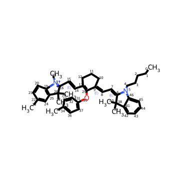 CCCCCN1/C(=C/C=C2\CCCC(/C=C/C3=[N+](C)c4ccc(C)cc4C3(C)C)=C2Oc2ccc(C)cc2)C(C)(C)c2ccccc21